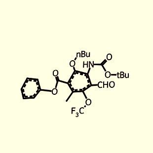 CCCCOc1c(NC(=O)OC(C)(C)C)c(C=O)c(OC(F)(F)F)c(C)c1C(=O)Oc1ccccc1